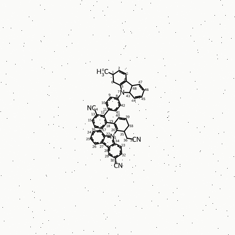 CC1C=CC2=C(C1)N(c1ccc(-c3c(C#N)cccc3C3=C(n4c5ccccc5c5cc(C#N)ccc54)C(CC#N)CC=C3)cc1)C1C=CC=CC21